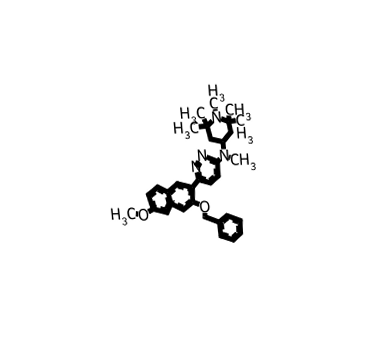 COc1ccc2cc(-c3ccc(N(C)C4CC(C)(C)N(C)C(C)(C)C4)nn3)c(OCc3ccccc3)cc2c1